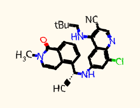 C#C[C@@H](Nc1cc(Cl)c2ncc(C#N)c(NCC(C)(C)C)c2c1)c1cccc2c(=O)n(C)ccc12